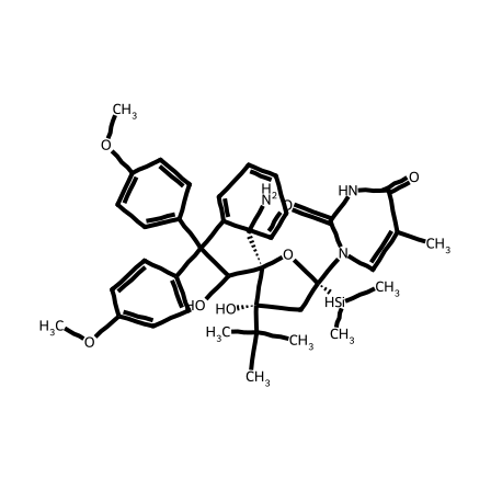 COc1ccc(C(c2ccccc2)(c2ccc(OC)cc2)C(O)[C@@]2(CN)O[C@](n3cc(C)c(=O)[nH]c3=O)([SiH](C)C)C[C@@]2(O)C(C)(C)C)cc1